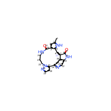 Cc1cc2c([nH]1)/C=C1\C(=O)Nc3cnc(cc31)-c1ccnn1CCCNC2=O